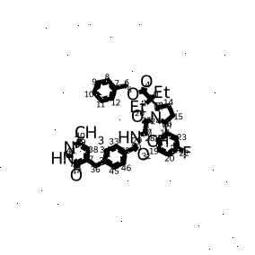 CCC(CC)(C(=O)OCc1ccccc1)[C@H]1CC[C@@H](c2cccc(F)c2)N1C(=O)[C@@H](C)NC(=O)c1ccc(Cc2cc(C)n[nH]c2=O)cc1